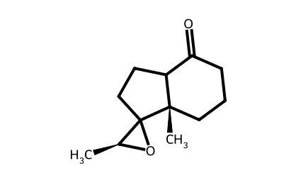 C[C@@H]1OC12CCC1C(=O)CCC[C@@]12C